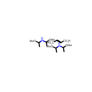 COC(C)NC(C)OC.COC(C)NC(C)OC.O=C(O)/C=C/C(=O)O